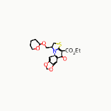 CCOC(=O)c1c2n(c3cc4c(cc3c1=O)OCO4)C(COC1CCCCO1)CS2